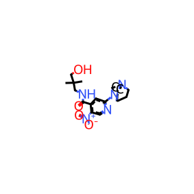 CC(C)(CO)CNC(=O)c1cc(N2CCN3CCC2CC3)ncc1[N+](=O)[O-]